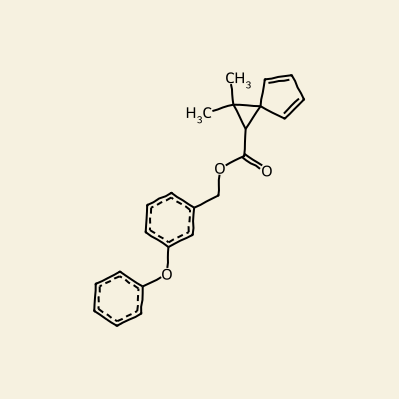 CC1(C)C(C(=O)OCc2cccc(Oc3ccccc3)c2)C12C=CC=C2